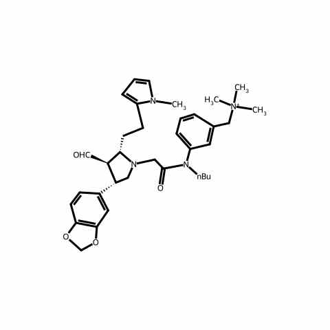 CCCCN(C(=O)CN1C[C@H](c2ccc3c(c2)OCO3)[C@@H](C=O)[C@@H]1CCc1cccn1C)c1cccc(C[N+](C)(C)C)c1